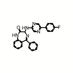 O=C1Nc2ccccc2C(c2ccccc2)=NC1Nc1cnc(-c2ccc(F)cc2)cn1